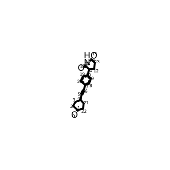 O=C1CCC(C#Cc2ccc(C3CCC(=O)NC3=O)cc2)CC1